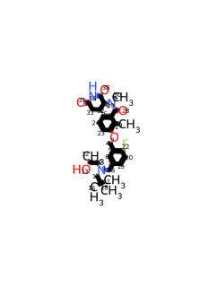 Cc1c(OCc2cc(CN(CC(C)O)CC(C)(C)C)ccc2F)cccc1C(=O)N(C)C1CCC(=O)NC1=O